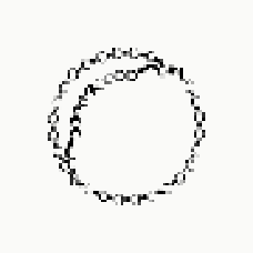 C1COOCCN2CCOOCCOCCOOCCN(CCOOCCO1)CCOOCCOCCOOCC2